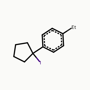 CCc1ccc(C2(I)CCCC2)cc1